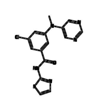 CN(c1cncnc1)c1cc(Cl)cc(C(=O)Nc2nccs2)c1